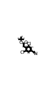 CC(C)(C)OC(=O)Cc1c(Cl)cc(C#N)cc1Cl